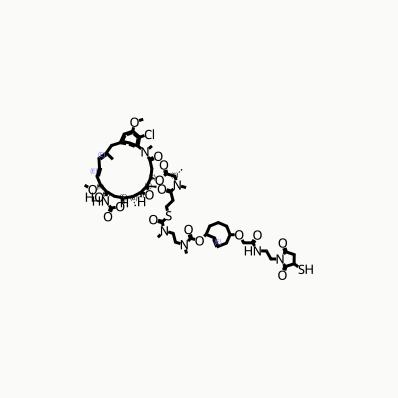 COc1cc2cc(c1Cl)N(C)C(=O)C[C@H](OC(=O)[C@H](C)N(C)C(=O)CCSC(=O)N(C)CCN(C)C(=O)OC1/C=C/CC(OCC(=O)NCCN3C(=O)CC(S)C3=O)CCC1)[C@]1(C)O[C@H]1[C@H](C)[C@@H]1C[C@@](O)(NC(=O)O1)[C@H](OC)/C=C/C=C(\C)C2